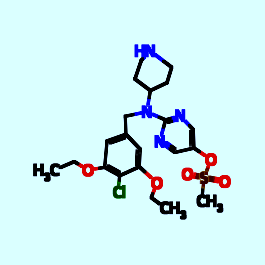 CCOc1cc(CN(c2ncc(OS(C)(=O)=O)cn2)C2CCNCC2)cc(OCC)c1Cl